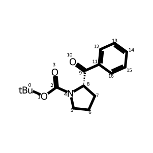 CC(C)(C)OC(=O)N1CCC[C@H]1C(=O)c1ccccc1